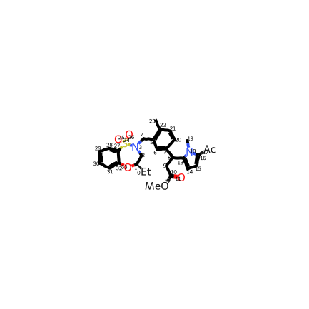 CC[C@@H]1CN(Cc2cc(C(CC(=O)OC)c3ccc(C(C)=O)n3C)ccc2C)S(=O)(=O)c2ccccc2O1